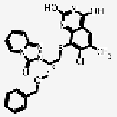 O=c1n([C@@H](COCc2ccccc2)CSc2c(Cl)c(C(F)(F)F)cc3c(O)nc(O)nc23)nc2ccccn12